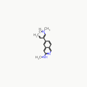 C=C/C(=C\N(C)C)c1ccc2cnc(NC)cc2c1